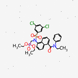 CCOP(=O)(CN(c1cccc2c(C(=O)N(CC)c3ccccc3)cccc12)S(=O)(=O)c1cc(Cl)cc(Cl)c1)OCC